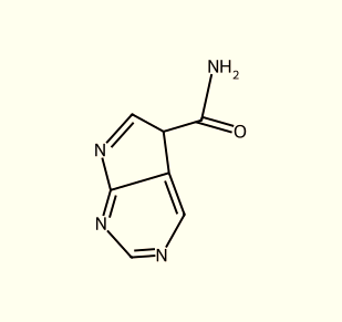 NC(=O)C1C=Nc2ncncc21